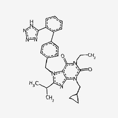 CCn1c(=O)c2c(nc(C(C)C)n2Cc2ccc(-c3ccccc3-c3nnn[nH]3)cc2)n(CC2CC2)c1=O